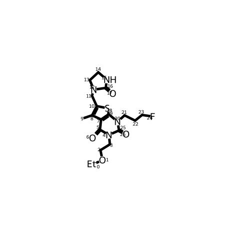 CCOCCn1c(=O)c2c(C)c(CN3CCNC3=O)sc2n(CCCF)c1=O